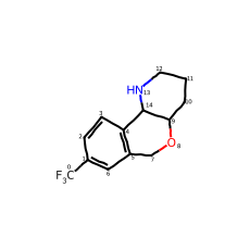 FC(F)(F)c1ccc2c(c1)COC1CCCNC21